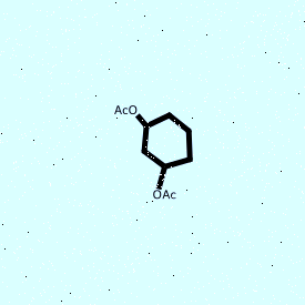 CC(=O)OC1[CH]CCC(OC(C)=O)C1